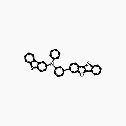 c1ccc(N(c2cccc(-c3ccc4c(c3)oc3c5ccccc5sc43)c2)c2ccc3sc4ccccc4c3c2)cc1